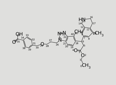 CCOC(=O)CC(c1cc(C)c2c(c1)CNCC2)c1ccc2c(nnn2CCCOCc2ccc(C(=O)O)cc2)c1C